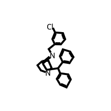 Clc1cccc(CN=C2C3CCN(CC3)C2C(c2ccccc2)c2ccccc2)c1